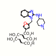 CN1CCC(Nc2nc3ccccc3n2Cc2cc(C(=O)O)co2)CC1.O=C(O)/C=C/C(=O)O.O=C(O)C=CC(=O)O